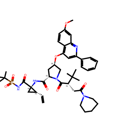 C=C[C@@H]1C[C@]1(NC(=O)[C@@H]1C[C@@H](Oc2cc(-c3ccccc3)nc3cc(OC)ccc23)CN1C(=O)[C@@H](CC(=O)N1CCCCC1)C(C)(C)C)C(=O)NS(=O)(=O)C1(C)CC1